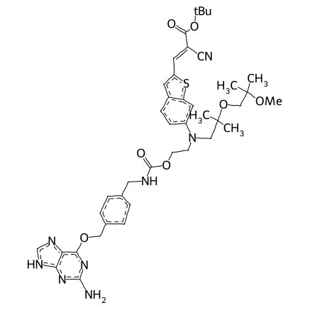 COC(C)(C)COC(C)(C)CN(CCOC(=O)NCc1ccc(COc2nc(N)nc3[nH]cnc23)cc1)c1ccc2cc(/C=C(\C#N)C(=O)OC(C)(C)C)sc2c1